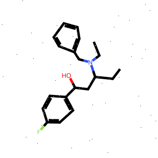 CCC(CC(O)c1ccc(F)cc1)N(CC)Cc1ccccc1